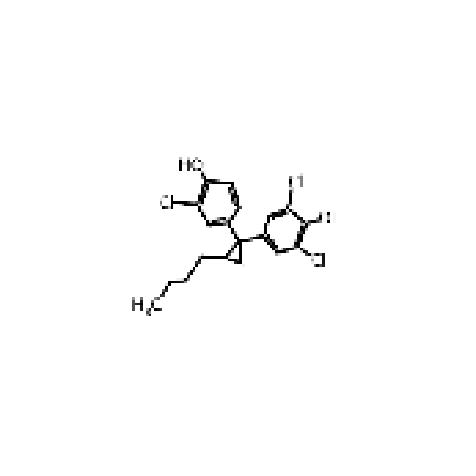 CCCCC1CC1(c1ccc(O)c(Cl)c1)c1cc(Cl)c(O)c(Cl)c1